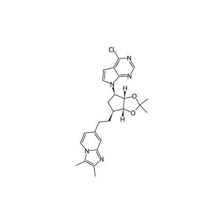 Cc1nc2cc(CC[C@H]3C[C@@H](n4ccc5c(Cl)ncnc54)[C@@H]4OC(C)(C)O[C@H]34)ccn2c1C